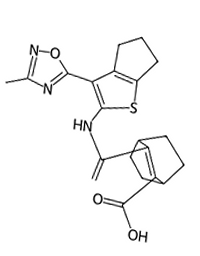 C=C(Nc1sc2c(c1-c1nc(C)no1)CCC2)C1=C(C(=O)O)C2CCC1CC2